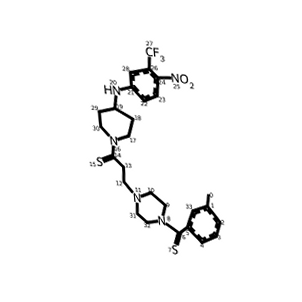 Cc1cccc(C(=S)N2CCN(CCC(=S)N3CCC(Nc4ccc([N+](=O)[O-])c(C(F)(F)F)c4)CC3)CC2)c1